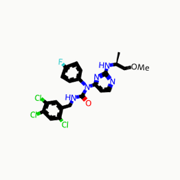 COC[C@H](C)Nc1nccc(N(C(=O)NCc2cc(Cl)c(Cl)cc2Cl)c2ccc(F)cc2)n1